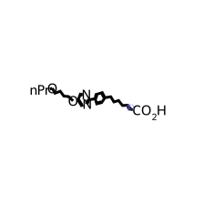 CCCOCCCCOc1cnc(-c2ccc(CCCC/C=C/C(=O)O)cc2)nc1